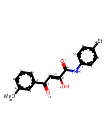 CCc1ccc(NC(=O)/C(O)=C/C(=O)c2cccc(OC)c2)cc1